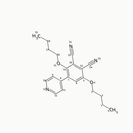 CCCCOc1cc(-c2ccncc2)c(OCCCC)c(C#N)c1C#N